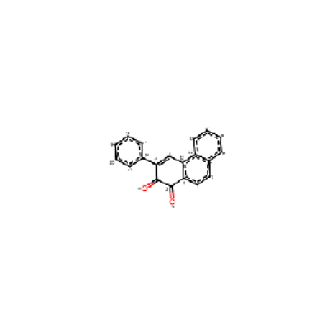 O=C1C(=O)c2ccc3ccccc3c2C=C1c1ccccc1